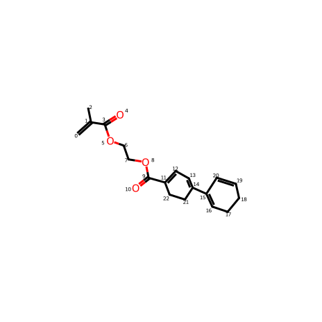 C=C(C)C(=O)OCCOC(=O)C1=CC=C(C2=CCCC=C2)CC1